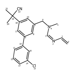 C=C/N=C\N(C)Cc1cc(-c2cccc(Cl)c2)cc(C(C)(C)C#N)c1